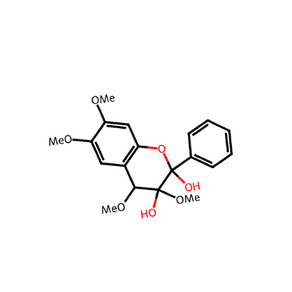 COc1cc2c(cc1OC)C(OC)C(O)(OC)C(O)(c1ccccc1)O2